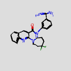 N=C(N)c1cccc(NC(=O)c2cc3ccccc3nc2N2CCCC(F)(F)CC2)c1